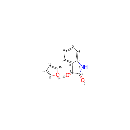 O=C1Nc2ccccc2C1=O.c1ccoc1